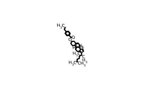 C=CCc1ccc(C(=O)O[C@H]2CC[C@@]3(C)C(=CC[C@H]4[C@@H]5CC[C@H]([C@H](C)CCCC(C)C)[C@@]5(C)CC[C@@H]43)C2)cc1